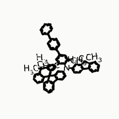 Cc1cc(-c2ccc(-c3ccccc3)cc2)cc(C)c1N(c1ccc2c(c1)C(C)(C)c1ccccc1-2)c1ccc2c(c1)C1(c3ccccc3-2)c2ccccc2C(C)(C)c2ccccc21